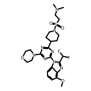 COc1cccc2c1nc(C(F)F)n2-c1nc(C2CCN(S(=O)(=O)CCN(C)C)CC2)nc(N2CCOCC2)n1